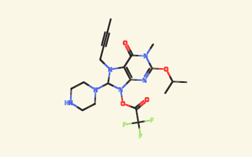 CC#CCN1c2c(nc(OC(C)C)n(C)c2=O)N(OC(=O)C(F)(F)F)C1N1CCNCC1